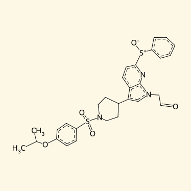 CC(C)Oc1ccc(S(=O)(=O)N2CCC(c3cn(CC=O)c4nc([S+]([O-])c5ccccc5)ccc34)CC2)cc1